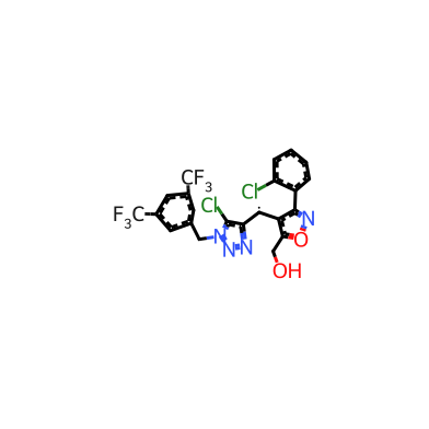 OCc1onc(-c2ccccc2Cl)c1[CH]c1nnn(Cc2cc(C(F)(F)F)cc(C(F)(F)F)c2)c1Cl